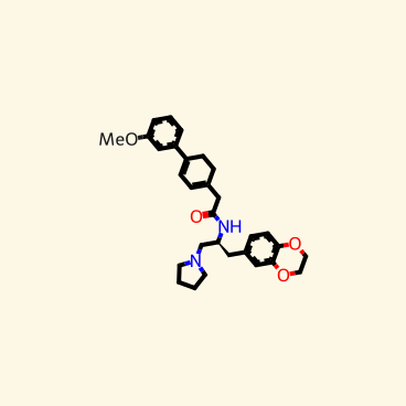 COc1cccc(C2=CC=C(CC(=O)N[C@@H](Cc3ccc4c(c3)OCCO4)CN3CCCC3)CC2)c1